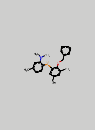 Cc1ccc(Pc2cc(C(C)(C)C)cc(C)c2OCc2ccccc2)c(N(C)C)c1